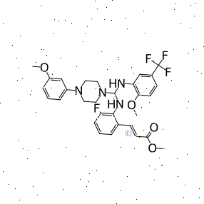 COC(=O)/C=C/c1cccc(F)c1NC(Nc1cc(C(F)(F)F)ccc1OC)N1CCN(c2cccc(OC)c2)CC1